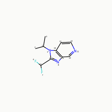 CC(C)n1c(C(F)F)nc2cnccc21